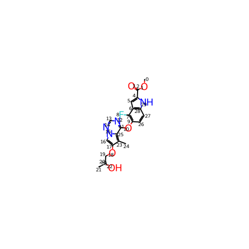 COC(=O)c1cc2c(F)c(Oc3ncnn4cc(OC[C@H](C)O)c(C)c34)ccc2[nH]1